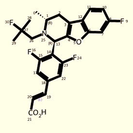 C[C@@H]1Cc2c(oc3cc(F)ccc23)[C@@H](c2c(F)cc(/C=C/C(=O)O)cc2F)N1CC(C)(C)F